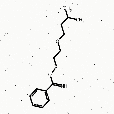 CC(C)CCOCCCOC(=N)c1ccccc1